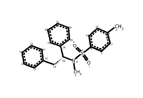 Cc1ccc(S(=O)(=O)N(C)[C@H](Cc2ccccc2)c2ccccc2)cc1